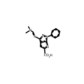 CN(C)C=Nc1nn(-c2ccccc2)c2sc(C(=O)O)cc12